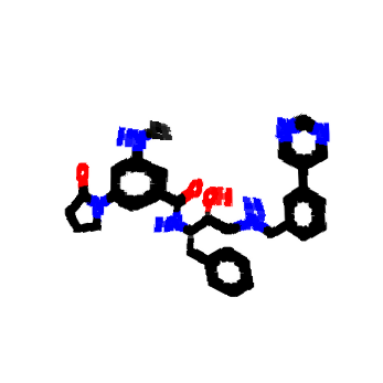 CCNc1cc(C(=O)N[C@@H](Cc2ccccc2)[C@H](O)CNCc2cccc(-c3cncnc3)c2)cc(N2CCCC2=O)c1